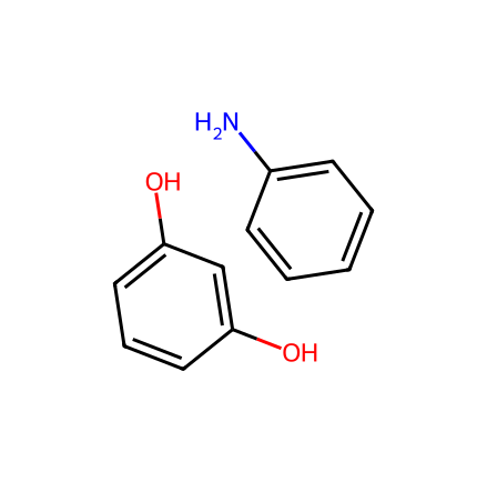 Nc1ccccc1.Oc1cccc(O)c1